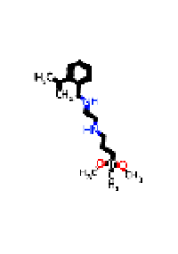 C=C(C)c1ccccc1CNCCNCC[CH2][Ti]([CH3])([O]C)[O]C